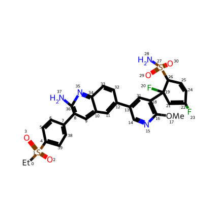 CCS(=O)(=O)c1ccc(-c2cc3cc(-c4cnc(OC)c(C5(F)C=C(F)C=CC5S(N)(=O)=O)c4)ccc3nc2N)cc1